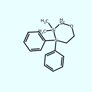 C[Si]1(C)[SiH2]OCC[Si]1(c1ccccc1)c1ccccc1